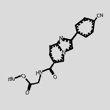 CC(C)(C)OC(=O)CNC(=O)c1ccc2nc(-c3ccc(C#N)cc3)cn2c1